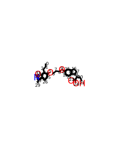 CCCc1c(OCCCOc2ccc3c(c2)CC[C@H]3C(CC)C(=O)O)ccc2c(C)noc12